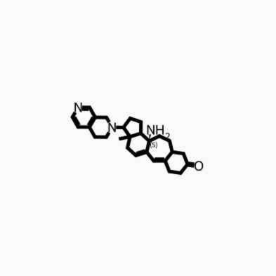 CC12CC=C3C=C4CCC(=O)CC4CC[C@]3(N)C1CCC2N1CCc2ccncc2C1